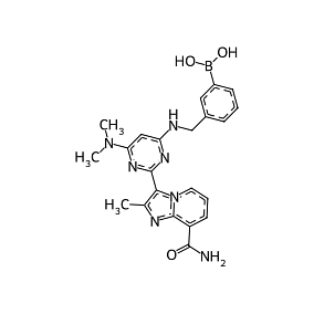 Cc1nc2c(C(N)=O)cccn2c1-c1nc(NCc2cccc(B(O)O)c2)cc(N(C)C)n1